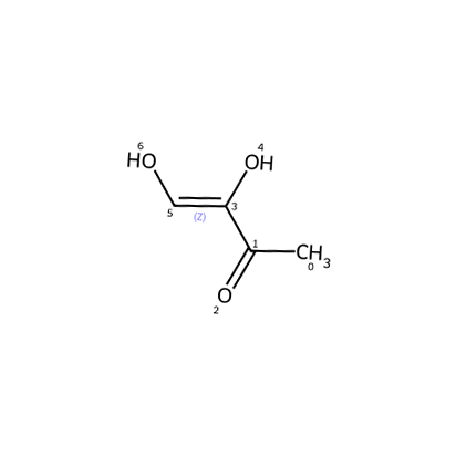 CC(=O)/C(O)=C/O